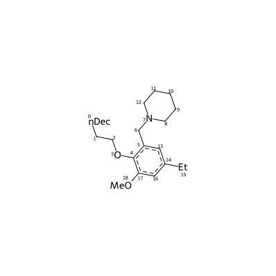 CCCCCCCCCCCCOc1c(CN2CCCCC2)cc(CC)cc1OC